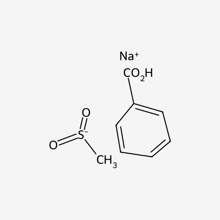 C[S-](=O)=O.O=C(O)c1ccccc1.[Na+]